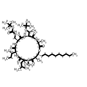 CCCCCCCCCC[C@H]1OC(=O)[C@H](C)NC(=O)[C@H]([C@H](C)OC(C)(C)C)NC(=O)[C@H](CNC(=O)OC(C)(C)C)NC(=O)[C@H]([C@H](C)CC)NC(=O)[C@@](C)(CC(C)C)N(C)C(=O)[C@@H]1C